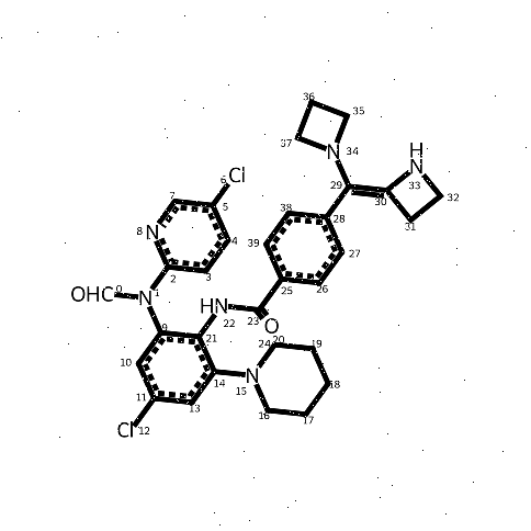 O=CN(c1ccc(Cl)cn1)c1cc(Cl)cc(N2CCCCC2)c1NC(=O)c1ccc(C(=C2CCN2)N2CCC2)cc1